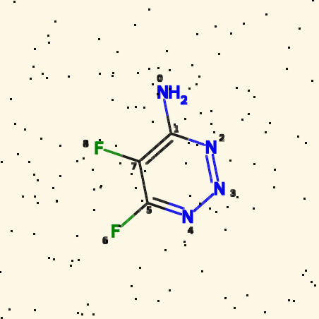 Nc1nnnc(F)c1F